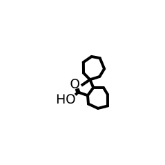 CC1(C2CCCCCC2C(=O)O)CCCCCC1